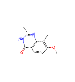 COc1ccc2c(=O)[nH]c(C)nc2c1C